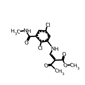 CNC(=O)c1cc(Cl)cc(NC=C(C(C)=O)C(=O)OC)c1Cl